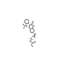 C=CC(=O)OC(C)(C)CB(C)Oc1ccc2cc(-c3ccccc3C(F)(F)F)c(=O)oc2c1